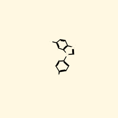 O=C(O)c1ccc2ncn(-c3ccc(F)cc3)c2c1